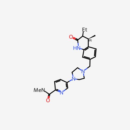 CCC1C(=O)Nc2cc(CN3CCN(c4ccc(C(=O)NC)nc4)CC3)ccc2[C@@H]1C